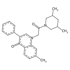 Cc1ccc2c(=O)c(-c3ccccc3)cn(CC(=O)N3CC(C)CC(C)C3)c2c1